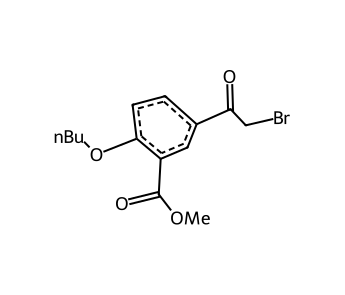 CCCCOc1ccc(C(=O)CBr)cc1C(=O)OC